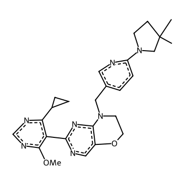 COc1ncnc(C2CC2)c1-c1ncc2c(n1)N(Cc1ccc(N3CCC(C)(C)C3)nc1)CCO2